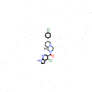 Cn1ccc2c(Cl)c(C(=O)N3CCN4C[C@@H](c5ccc(Cl)cc5)CC[C@@H]4C3)cnc21